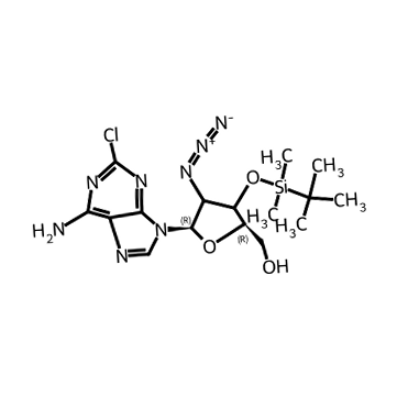 CC(C)(C)[Si](C)(C)OC1C(N=[N+]=[N-])[C@H](n2cnc3c(N)nc(Cl)nc32)O[C@@H]1CO